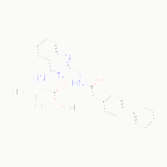 COC(=O)[C@@H](Nc1nc(CNC(=O)Cc2ccc(-c3ccccc3)cc2)nc2ccccc12)C(C)C